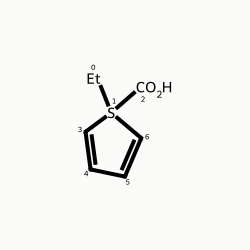 CCS1(C(=O)O)C=CC=C1